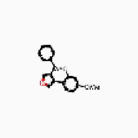 COc1ccc(-c2co[c]c2Cc2ccccc2)c(OC)c1